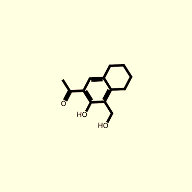 CC(=O)c1cc2c(c(CO)c1O)CCCC2